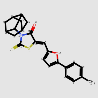 Cc1ccc(-c2ccc(/C=C3\SC(=S)N(C4C5CC6CC(C5)C4C6)C3=O)o2)cc1